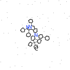 c1ccc(-c2ccc(N(c3ccc4cc(-c5ccccc5)n5nc(-c6ccccc6)c(-c6ccccc6)c5c4c3)c3cccc4c3-c3ccccc3C4(c3ccccc3)c3ccccc3)cc2)cc1